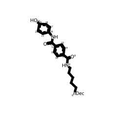 CCCCCCCCCCCCCCCNC(=O)c1ccc(C(=O)Nc2ccc(O)cc2)cc1